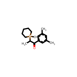 Cc1cc(C)cc(C(=O)C(C)S2(C)CCCCC2)c1